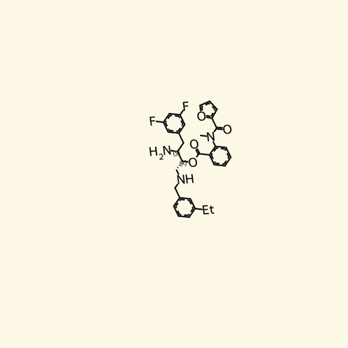 CCc1cccc(CNC[C@@H](OC(=O)c2ccccc2N(C)C(=O)c2ccco2)[C@@H](N)Cc2cc(F)cc(F)c2)c1